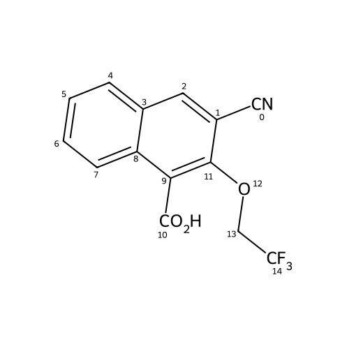 N#Cc1cc2ccccc2c(C(=O)O)c1OCC(F)(F)F